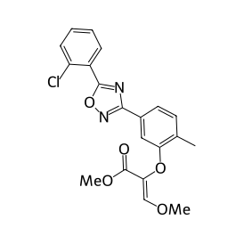 CO/C=C(\Oc1cc(-c2noc(-c3ccccc3Cl)n2)ccc1C)C(=O)OC